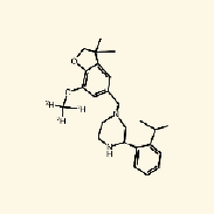 [2H]C([2H])([2H])Oc1cc(CN2CCN[C@H](c3ccccc3C(C)C)C2)cc2c1OCC2(C)C